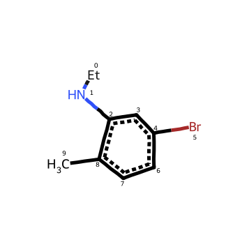 CCNc1cc(Br)ccc1C